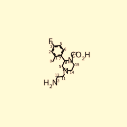 Cc1cc(F)ccc1C1CN(CCN)CCN1C(=O)O